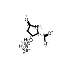 O.O.O.O=C1CC[C@@H](C(=O)[O-])N1.[Na+]